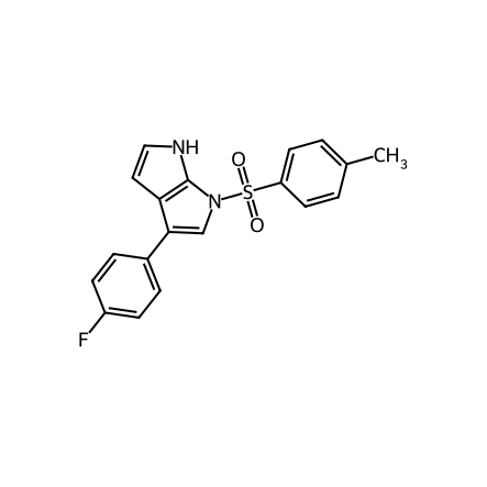 Cc1ccc(S(=O)(=O)n2cc(-c3ccc(F)cc3)c3cc[nH]c32)cc1